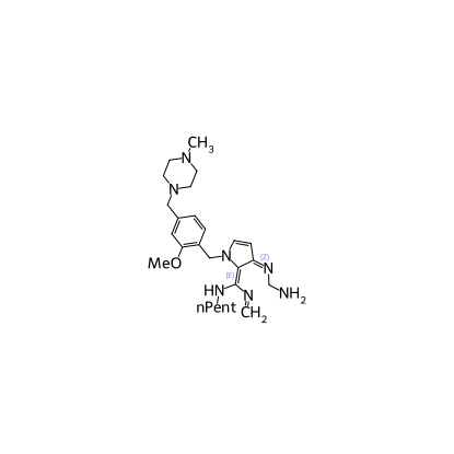 C=N/C(NCCCCC)=C1\C(=N/CN)C=CN1Cc1ccc(CN2CCN(C)CC2)cc1OC